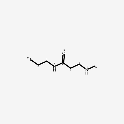 CNCCC(=O)NCCI